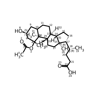 CC(=O)OC1(C)C[C@@H](O)CC2CC[C@H]3[C@@H]4CC[C@H]([C@H](C)CCC(=O)O)[C@@]4(C)CC[C@@H]3[C@]21C